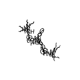 CCCCN(CCCC)c1nc(NCCOC(=O)C(C)Oc2ccc(-c3nc(-c4ccc(OC)cc4)nc(-c4ccc(OC(C)C(=O)OCCNc5nc(N(CCCC)CCCC)nc(N(CCCC)CCCC)n5)cc4O)n3)c(O)c2)nc(N(CCCC)CCCC)n1